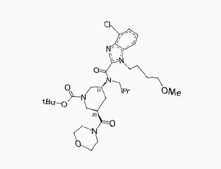 COCCCCn1c(C(=O)N(CC(C)C)[C@H]2C[C@@H](C(=O)N3CCOCC3)CN(C(=O)OC(C)(C)C)C2)nc2c(Cl)cccc21